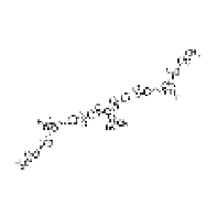 C=CC(=O)OCCOC(=O)CCC(=O)OC(C)CCc1ccc(OC(=O)[C@H]2CC[C@H](C(=O)Oc3ccc(OC(=O)[C@H]4CC[C@H](C(=O)Oc5ccc(CCC(C)OC(=O)CCC(=O)OCCOC(=O)C=C)cc5)CC4)c4c3SC(=C(C#N)C#N)S4)CC2)cc1